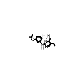 CCc1cnc(Nc2cccc(OC(C)C)c2)nc1CN